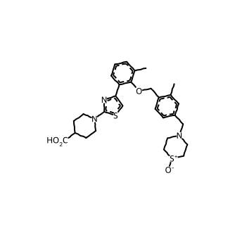 Cc1cc(CN2CC[S+]([O-])CC2)ccc1COc1c(C)cccc1-c1csc(N2CCC(C(=O)O)CC2)n1